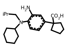 CC(C)CN(c1ccc(C2(C(=O)O)CCCC2)cc1N)C1CCCCC1